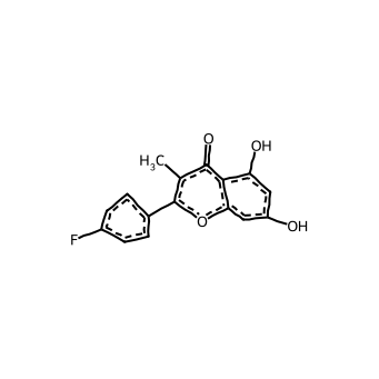 Cc1c(-c2ccc(F)cc2)oc2cc(O)cc(O)c2c1=O